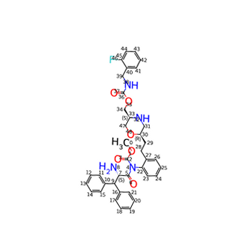 COC(=O)N(C(=O)[C@@H](N)C(c1ccccc1)c1ccccc1)c1ccccc1CC[C@@H]1CN[C@H](COC(=O)NCc2ccccc2F)CO1